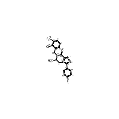 CC1Cn2c(nnc2-c2ccc(F)cc2)C(=O)N1Cc1cccc(C(F)(F)F)c1Cl